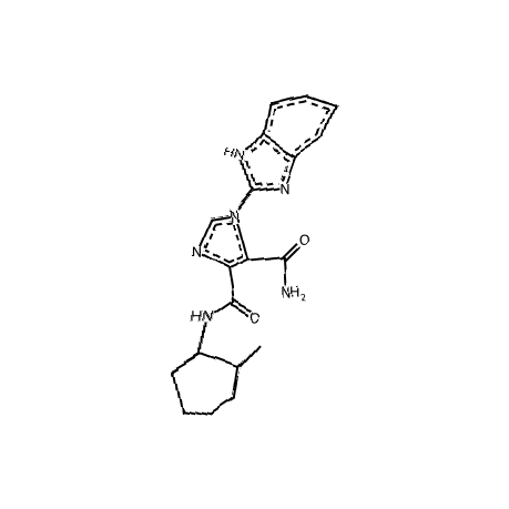 CC1CCCCC1NC(=O)c1ncn(-c2nc3ccccc3[nH]2)c1C(N)=O